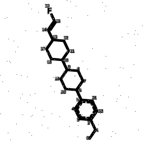 CCc1ccc(C2CCC(C3CCC(/C=C/F)CC3)CC2)cc1